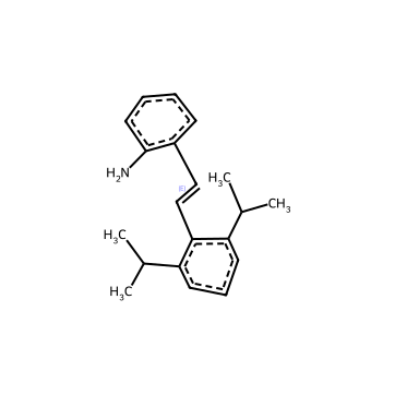 CC(C)c1cccc(C(C)C)c1/C=C/c1ccccc1N